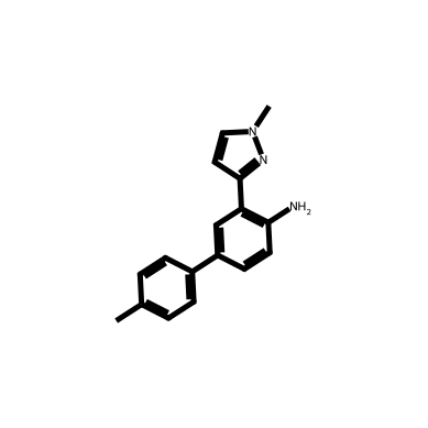 Cc1ccc(-c2ccc(N)c(-c3ccn(C)n3)c2)cc1